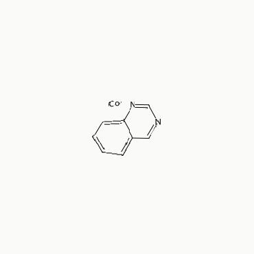 [Co].c1ccc2ncncc2c1